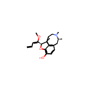 C=C/C=C(/OC)[C@@H]1Oc2c(O)ccc3c2[C@@]1(C)CCN(C)[C@@H](C)C3